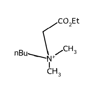 CCCC[N+](C)(C)CC(=O)OCC